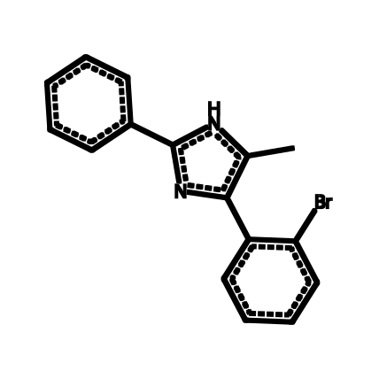 Cc1[nH]c(-c2ccccc2)nc1-c1ccccc1Br